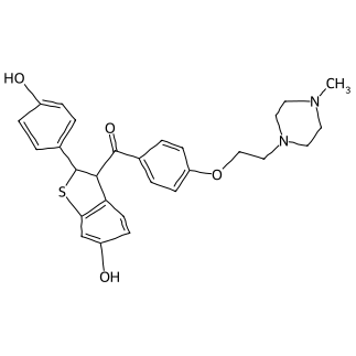 CN1CCN(CCOc2ccc(C(=O)C3c4ccc(O)cc4SC3c3ccc(O)cc3)cc2)CC1